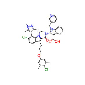 Cc1cc(OCCCc2c3n(c4c(-c5c(C)nn(C)c5C)c(Cl)ccc24)[C@H](C)CN(c2c(C(=O)O)c4ccccc4n2Cc2cccnc2)C3=O)cc(C)c1Cl